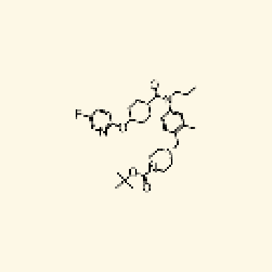 CCCN(C(=O)C1CCC(Oc2ccc(F)cn2)CC1)c1ccc(CN2CCN(C(=O)OC(C)(C)C)CC2)c(C)c1